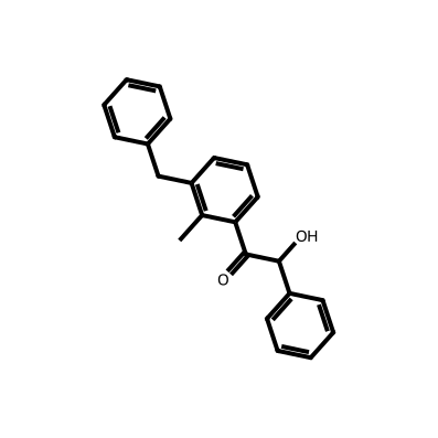 Cc1c(Cc2ccccc2)cccc1C(=O)C(O)c1ccccc1